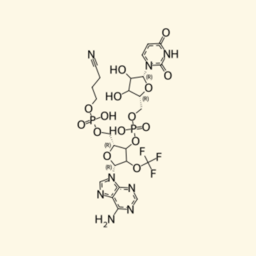 N#CCCCOP(=O)(O)OC[C@H]1O[C@@H](n2cnc3c(N)ncnc32)C(OC(F)(F)F)C1OP(=O)(O)OC[C@H]1O[C@@H](n2ccc(=O)[nH]c2=O)C(O)C1O